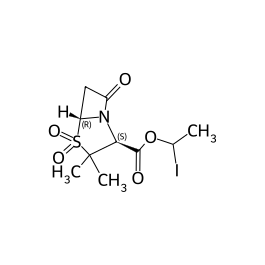 CC(I)OC(=O)[C@@H]1N2C(=O)C[C@H]2S(=O)(=O)C1(C)C